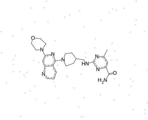 Cc1cc(C(N)=O)nc(NCC2CCN(c3nc(N4CCOCC4)cc4ncccc34)CC2)n1